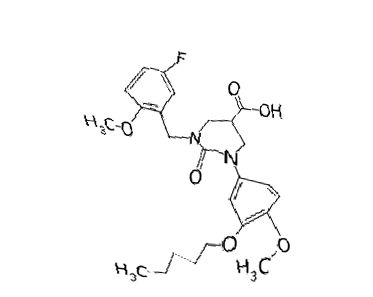 CCCCCOc1cc(N2CC(C(=O)O)CN(Cc3cc(F)ccc3OC)C2=O)ccc1OC